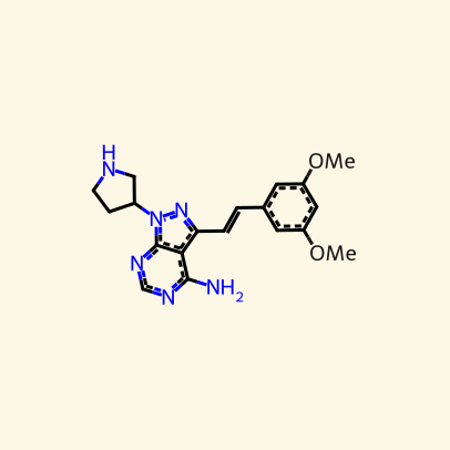 COc1cc(/C=C/c2nn(C3CCNC3)c3ncnc(N)c23)cc(OC)c1